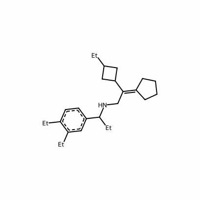 CCc1ccc(C(CC)NCC(=C2CCCC2)C2CC(CC)C2)cc1CC